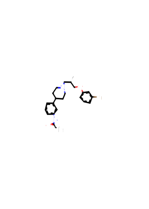 CC(C)C(=O)Nc1cccc(C2CCN(C[C@@H](C)COc3cccc(Br)c3)CC2)c1